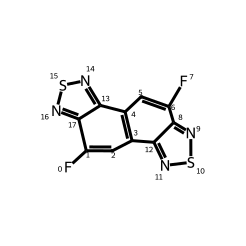 Fc1cc2c(cc(F)c3nsnc32)c2nsnc12